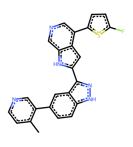 Cc1ccncc1-c1ccc2[nH]nc(-c3cc4c(-c5ccc(F)s5)cncc4[nH]3)c2c1